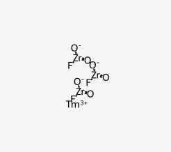 [O]=[Zr]([O-])[F].[O]=[Zr]([O-])[F].[O]=[Zr]([O-])[F].[Tm+3]